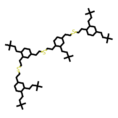 CC(C)(C)CCC1CCC(CCSCCC2CCC(CCSCCC3CCC(CCC(C)(C)C)C(CCSCCC4CCC(CCC(C)(C)C)C(CCC(C)(C)C)C4)C3)C(CCC(C)(C)C)C2)C(CCC(C)(C)C)C1